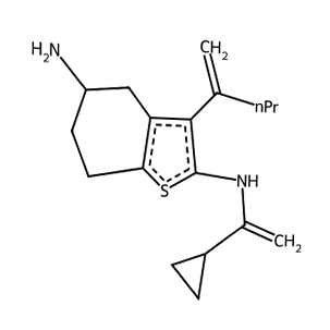 C=C(CCC)c1c(NC(=C)C2CC2)sc2c1CC(N)CC2